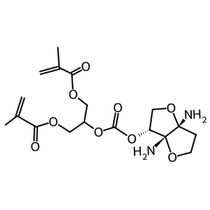 C=C(C)C(=O)OCC(COC(=O)C(=C)C)OC(=O)O[C@@H]1CO[C@]2(N)CCO[C@]12N